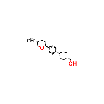 CCCC1CCC(c2ccc(C3CCC(CO)CC3)cc2)OC1